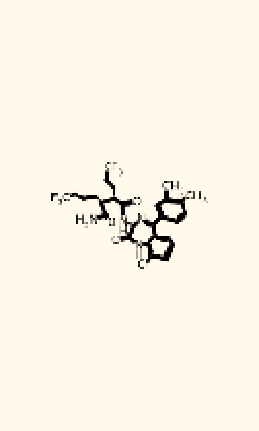 Cc1ccc(C2=N[C@H](NC(=O)[C@H](CCC(F)(F)F)[C@H](CCCC(F)(F)F)C(N)=O)C(=O)Nc3c(Cl)cccc32)cc1C